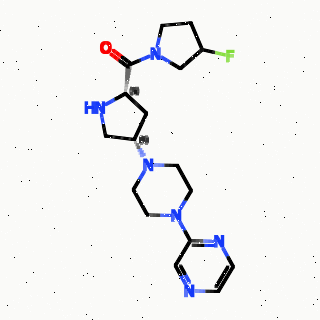 O=C([C@@H]1C[C@H](N2CCN(c3cnccn3)CC2)CN1)N1CCC(F)C1